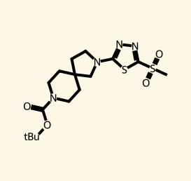 CC(C)(C)OC(=O)N1CCC2(CC1)CCN(c1nnc(S(C)(=O)=O)s1)C2